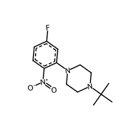 CC(C)(C)N1CCN(c2cc(F)ccc2[N+](=O)[O-])CC1